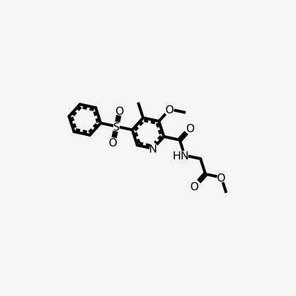 COC(=O)CNC(=O)c1ncc(S(=O)(=O)c2ccccc2)c(C)c1OC